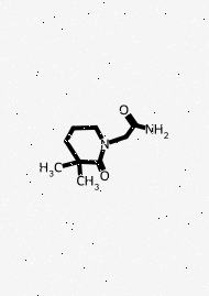 CC1(C)CCCN(CC(N)=O)C1=O